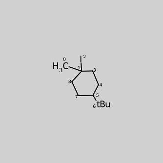 CC1(I)CCC(C(C)(C)C)CC1